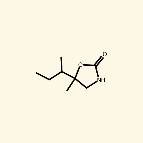 CCC(C)C1(C)CNC(=O)O1